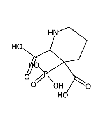 O=C(O)C1NCCCC1(C(=O)O)P(=O)(O)O